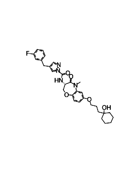 CN1C(=O)[C@@H](NC(=O)n2cc(Cc3cccc(F)c3)cn2)COc2ccc(OCCCC3(O)CCCCC3)cc21